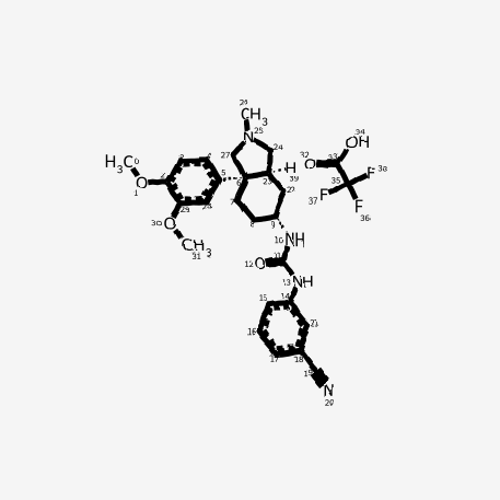 COc1ccc([C@@]23CC[C@@H](NC(=O)Nc4cccc(C#N)c4)C[C@@H]2CN(C)C3)cc1OC.O=C(O)C(F)(F)F